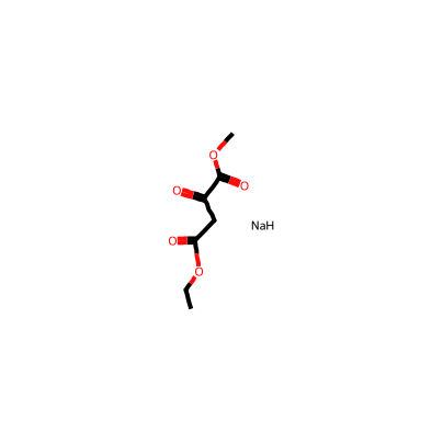 CCOC(=O)CC(=O)C(=O)OC.[NaH]